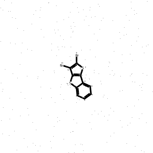 Brc1sc2c(sc3ccccc32)c1Br